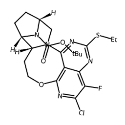 CCSc1nc2c3c(nc(Cl)c(F)c3n1)OCC[C@@H]1[C@@H]3CC[C@H](CN21)N3C(=O)OC(C)(C)C